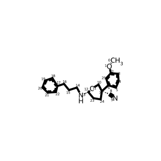 COc1cccc([C@]2(C#N)CC[C@@H](NCCCc3ccccc3)CC2)c1